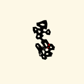 c1ccc(-c2ccccc2N(c2cccc(-c3ccc4c(c3)c(-c3ccccc3)c(-c3ccccc3)c3ccccc34)c2)c2cccc3oc4ccccc4c23)cc1